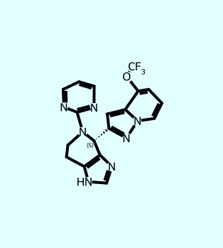 FC(F)(F)Oc1cccn2nc([C@@H]3c4nc[nH]c4CCN3c3ncccn3)cc12